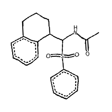 CC(=O)NC(C1CCCc2ccccc21)S(=O)(=O)c1ccccc1